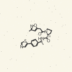 Cc1cc(CC(=O)N2CCC[C@H]2C(=O)N[C@@H](C)c2ccc(-c3cncs3)cc2)on1